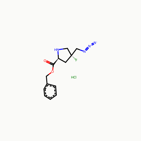 Cl.[N-]=[N+]=NC[C@]1(F)CN[C@H](C(=O)OCc2ccccc2)C1